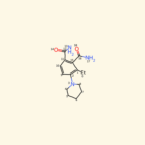 CCc1c(N2CCCCC2)ccc(C(N)=O)c1C(N)=O